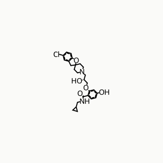 O=C(NCC1CC1)c1ccc(O)cc1OC[C@H](O)CN1CCC2(CC1)Cc1cc(Cl)ccc1O2